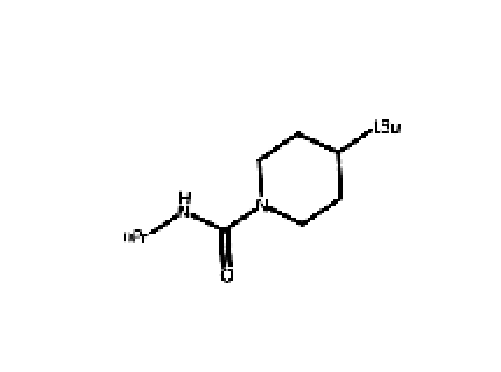 CCCNC(=O)N1CCC(C(C)(C)C)CC1